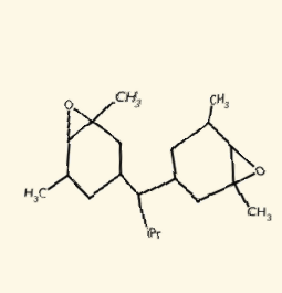 CC(C)C(C1CC(C)C2OC2(C)C1)C1CC(C)C2OC2(C)C1